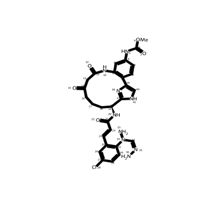 COC(=O)Nc1ccc2c(c1)NC(=O)CC(=O)CCC[C@H](NC(=O)/C=C/c1cc(Cl)ccc1N(N)/C=N\N)c1nc-2c[nH]1